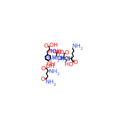 C[C@H](N)C(=O)O.C[C@H](N)C(=O)O.NC(=O)CC[C@H](N)C(=O)O.NCCCC[C@H](N)C(=O)O.N[C@@H](Cc1ccc(O)cc1)C(=O)O